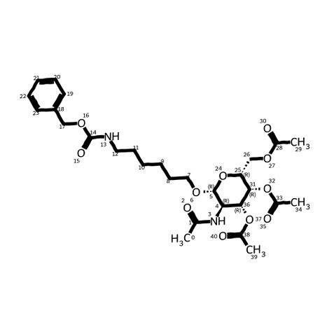 CC(=O)N[C@H]1[C@H](OCCCCCCNC(=O)OCc2ccccc2)O[C@H](COC(C)=O)[C@H](OC(C)=O)[C@@H]1OC(C)=O